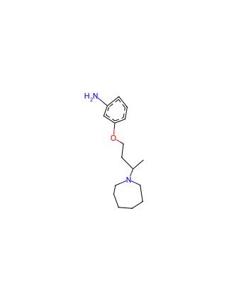 CC(CCOc1cccc(N)c1)N1CCCCCC1